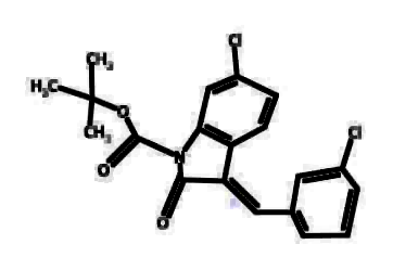 CC(C)(C)OC(=O)N1C(=O)/C(=C/c2cccc(Cl)c2)c2ccc(Cl)cc21